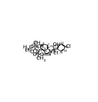 CCOC(N(c1cccc2c1cnn2C(CC)(CO)c1ccc(Cl)cc1)S(C)(=O)=O)[Si](C)(C)C